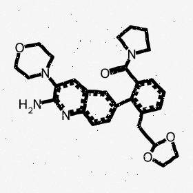 Nc1nc2ccc(-c3c(CC4OCCO4)cccc3C(=O)N3CCCC3)cc2cc1N1CCOCC1